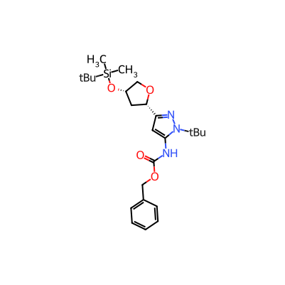 CC(C)(C)n1nc([C@@H]2C[C@H](O[Si](C)(C)C(C)(C)C)CO2)cc1NC(=O)OCc1ccccc1